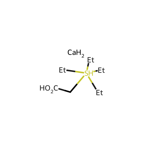 CC[SH](CC)(CC)(CC)CC(=O)O.[CaH2]